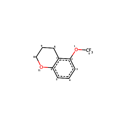 FC(F)(F)Oc1cccc2c1[CH]CCO2